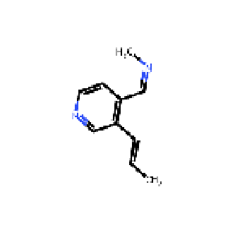 C/C=C/c1cnccc1/C=N\C